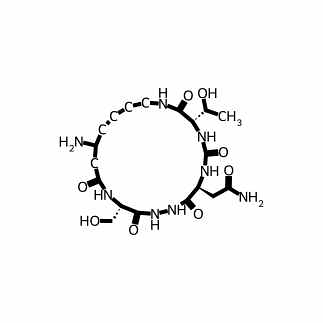 CC(O)[C@@H]1NC(=O)N[C@@H](CC(N)=O)C(=O)NNC(=O)[C@H](CO)NC(=O)CC(N)CCCCNC1=O